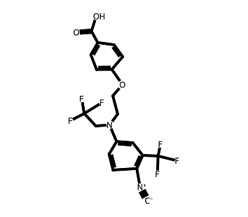 [C-]#[N+]c1ccc(N(CCOc2ccc(C(=O)O)cc2)CC(F)(F)F)cc1C(F)(F)F